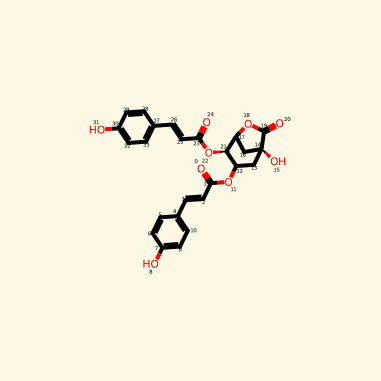 O=C(/C=C/c1ccc(O)cc1)OC1C[C@]2(O)CC(OC2=O)[C@@H]1OC(=O)/C=C/c1ccc(O)cc1